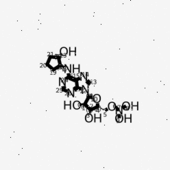 O[C@@H]1[C@H](O)[C@@H](CON(O)O)O[C@H]1n1cnc2c(N[C@H]3CCC[C@H]3O)ncnc21